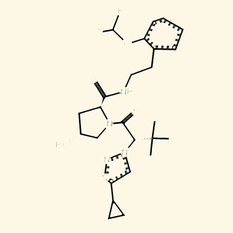 CC(C)(C)[C@@H](C(=O)N1C[C@H](O)C[C@H]1C(=O)NCCc1ccccc1OC(F)F)n1cc(C2CC2)nn1